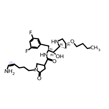 CCCCO[C@H]1CN[C@@H]([C@@H](O)[C@H](Cc2cc(F)cc(F)c2)NC(=O)C2CC(=O)N(CCC/C=C\N)C2)C1